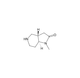 CN1C(=O)C[C@H]2CNCC[C@@H]21